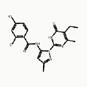 CCc1c(C)nc(-n2nc(C)cc2NC(=O)c2ccc(Cl)cc2Cl)[nH]c1=O